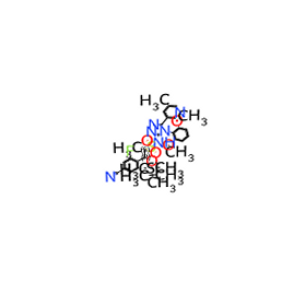 COc1cccc(OC)c1-n1c(NS(=O)(=O)[C@@H](C)[C@H](O[Si](C)(C)C(C)(C)C)c2ccc(C#N)cc2F)nnc1-c1cncc(C)c1